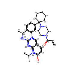 C=CC(=O)N1CCN(C2(c3ccc([C@H](C)Nc4ncc5ccc(=O)n(C(C)C)c5n4)cc3)CCCCC2)CC1